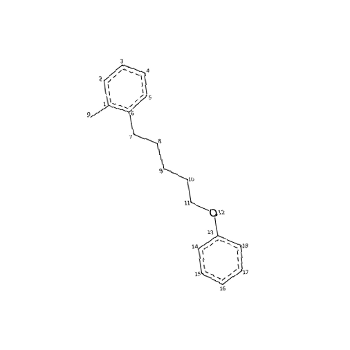 [CH2]c1ccccc1CCCCCOc1ccccc1